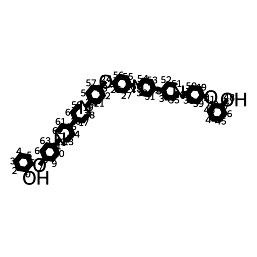 Oc1ccccc1Oc1ccc(-[n+]2ccc(-c3cc[n+](-c4ccc(Oc5ccc(-[n+]6ccc(-c7cc[n+](-c8ccc(Oc9ccccc9O)cc8)cc7)cc6)cc5)cc4)cc3)cc2)cc1